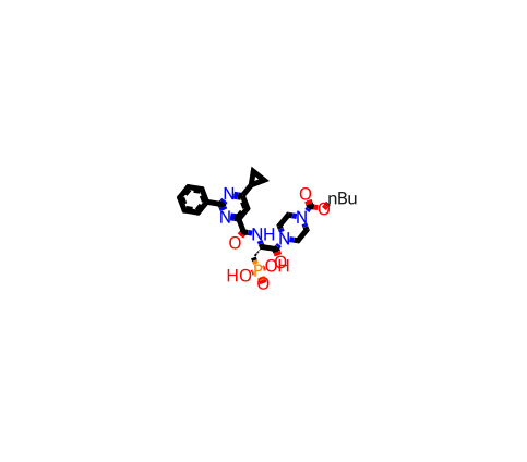 CCCCOC(=O)N1CCN(C(=O)[C@H](CP(=O)(O)O)NC(=O)c2cc(C3CC3)nc(-c3ccccc3)n2)CC1